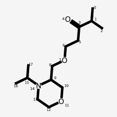 CC(C)C(=O)CCOCC1COCCN1C(C)C